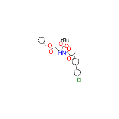 Cc1c(C(=O)N[C@@H](CCC(=O)OCc2ccccc2)C(=O)OC(C)(C)C)oc2cc(-c3ccc(Cl)cc3)ccc12